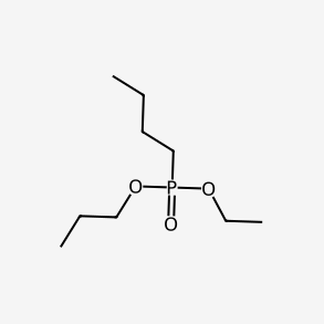 CCCCP(=O)(OCC)OCCC